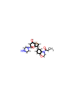 C=CC(=O)N1CCOc2ccc(-c3csc4c(=O)cc(N5CCNCC5)oc34)cc21